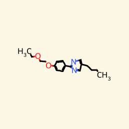 CCCCc1cnc(-c2ccc(OCCOCC)cc2)nc1